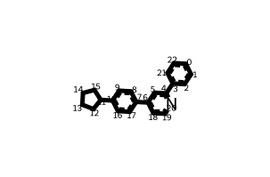 c1ccc(-c2cc(-c3ccc(C4CCCC4)cc3)ccn2)cc1